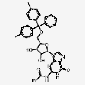 Cc1ccc(C(OC[C@H]2O[C@@H](n3cnc4c(=O)[nH]c(NC(=O)C(C)C)nc43)C(O)[C@H]2O)(c2ccccc2)c2ccc(C)cc2)cc1